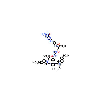 CC(CCN1/C(=C/C=C2\CCCC(/C=C/C3=[N+](CCC(C)S(=O)(=O)O)c4ccc5cc(S(=O)(=O)O)ccc5c4C3(C)C)=C2c2ccc(C(=O)NCCNC(=O)CC[C@H](NC(=O)c3ccc(NCc4cnc5nc(N)[nH]c(=O)c5n4)cc3)C(=O)O)cc2)C(C)(C)c2c1ccc1cc(S(=O)(=O)O)ccc21)S(=O)(=O)O